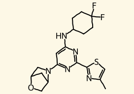 Cc1csc(-c2nc(NC3CCC(F)(F)CC3)cc(N3CC4CC3CO4)n2)n1